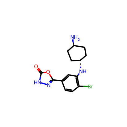 N[C@H]1CC[C@H](Nc2cc(-c3n[nH]c(=O)o3)ccc2Br)CC1